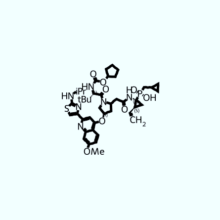 C=C[C@@H]1C[C@]1(NC(=O)CC1C[C@@H](Oc2cc(-c3csc(NC(C)C)n3)nc3cc(OC)ccc23)CN1C(=O)[C@@H](NC(=O)OC1CCCC1)C(C)(C)C)P(=O)(O)CC1CC1